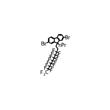 CCCC1(CCC(F)(F)C(F)(F)C(F)(F)C(F)(F)C(F)(F)C(F)(F)C(F)(F)C(F)(F)F)c2cc(Br)ccc2-c2ccc(Br)cc21